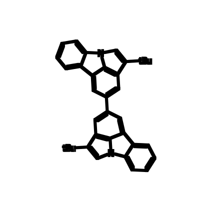 CC(C)(C)c1cn2c3ccccc3c3cc(-c4cc5c(C(C)(C)C)cn6c7ccccc7c(c4)c56)cc1c32